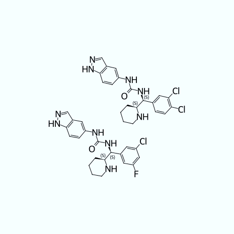 O=C(Nc1ccc2[nH]ncc2c1)N[C@@H](c1cc(F)cc(Cl)c1)[C@@H]1CCCCN1.O=C(Nc1ccc2[nH]ncc2c1)N[C@@H](c1ccc(Cl)c(Cl)c1)[C@@H]1CCCCN1